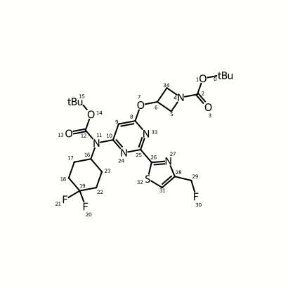 CC(C)(C)OC(=O)N1CC(Oc2cc(N(C(=O)OC(C)(C)C)C3CCC(F)(F)CC3)nc(-c3nc(CF)cs3)n2)C1